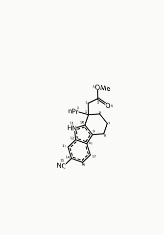 CCCC1(CC(=O)OC)CCCc2c1[nH]c1cc(C#N)ccc21